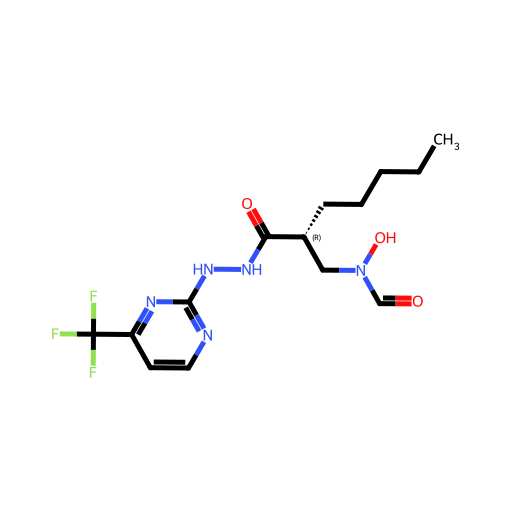 CCCCC[C@H](CN(O)C=O)C(=O)NNc1nccc(C(F)(F)F)n1